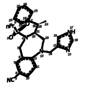 CCCS(=O)(=O)N1Cc2cc(C#N)ccc2N(Cc2c[nH]cn2)C[C@@H]1[C@@H](C)c1ccccc1